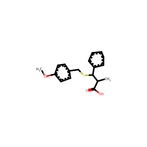 COc1ccc(CSC(c2ccccc2)C(C)C(=O)O)cc1